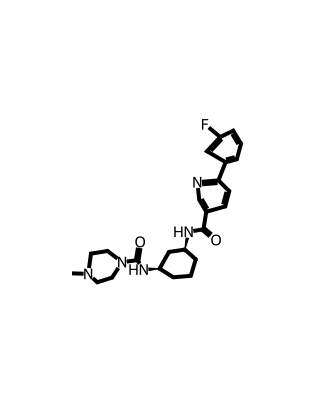 CN1CCN(C(=O)N[C@@H]2CCC[C@H](NC(=O)c3ccc(-c4cccc(F)c4)nc3)C2)CC1